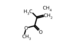 C.C=C(C)C(=O)OC